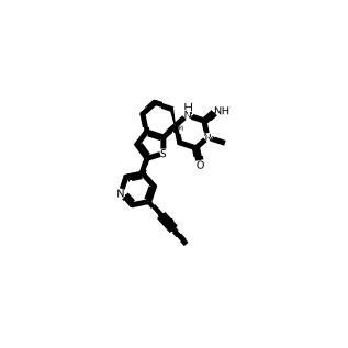 CC#Cc1cncc(-c2cc3c(s2)[C@@]2(CCC3)CC(=O)N(C)C(=N)N2)c1